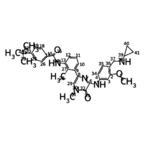 COc1cc(Nc2nc(-c3cccc(NC(=O)c4ccc(C(C)(C)C)cc4)c3C)cn(C)c2=O)ccc1CNC1CC1